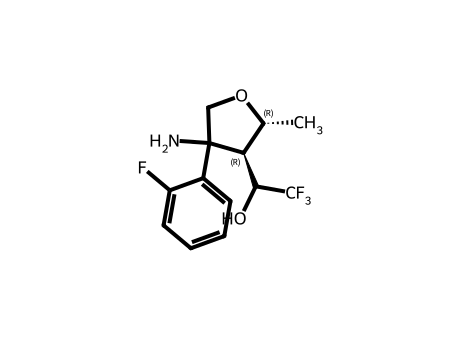 C[C@H]1OCC(N)(c2ccccc2F)[C@@H]1C(O)C(F)(F)F